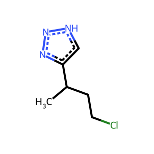 CC(CCCl)c1c[nH]nn1